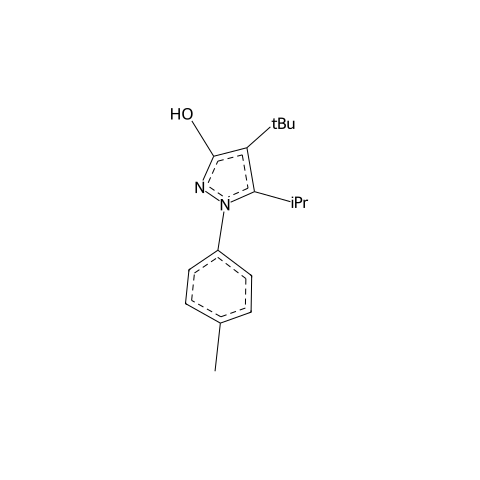 Cc1ccc(-n2nc(O)c(C(C)(C)C)c2C(C)C)cc1